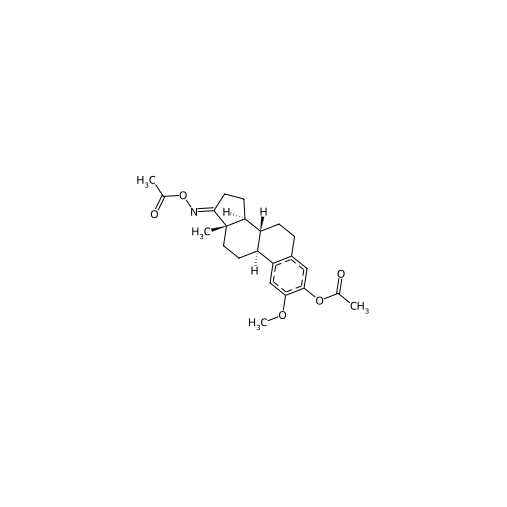 COc1cc2c(cc1OC(C)=O)CC[C@@H]1[C@@H]2CC[C@]2(C)C(=NOC(C)=O)CC[C@@H]12